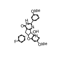 COc1cccc(-c2nc3c(c(=O)[nH]2)C[C@]2(c4ccc(F)cc4)Oc4cc(OC)cnc4[C@]32O)c1